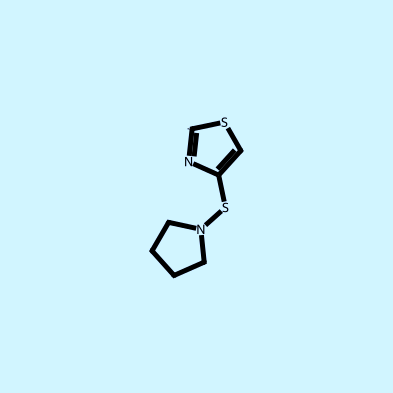 [c]1nc(SN2CCCC2)cs1